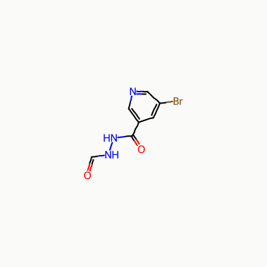 O=CNNC(=O)c1cncc(Br)c1